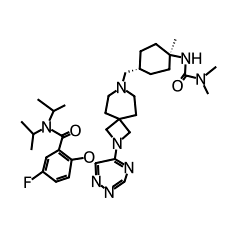 CC(C)N(C(=O)c1cc(F)ccc1Oc1nncnc1N1CC2(CCN(C[C@H]3CC[C@](C)(NC(=O)N(C)C)CC3)CC2)C1)C(C)C